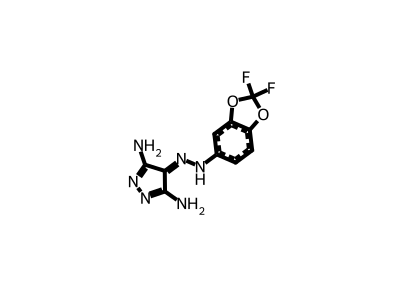 NC1=NN=C(N)C1=NNc1ccc2c(c1)OC(F)(F)O2